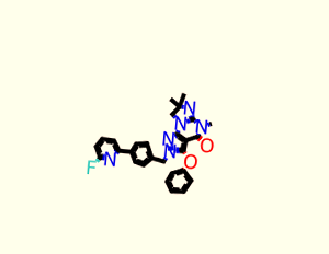 CN1C(=O)c2c(nn(Cc3ccc(-c4cccc(F)n4)cc3)c2Oc2ccccc2)N2CC(C)(C)N=C12